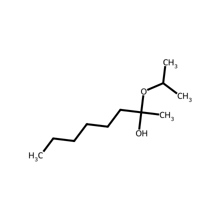 CCCCCCC(C)(O)OC(C)C